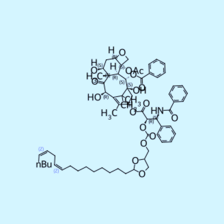 CCCC/C=C\C/C=C\CCCCCCCCC1OCC(COC(=O)O[C@@H](C(=O)O[C@H]2C[C@@]3(O)[C@@H](OC(=O)c4ccccc4)[C@@H]4[C@]5(OC(C)=O)CO[C@@H]5C[C@H](O)[C@@]4(C)C(=O)[C@H](O)C(=C2C)C3(C)C)[C@@H](NC(=O)c2ccccc2)c2ccccc2)O1